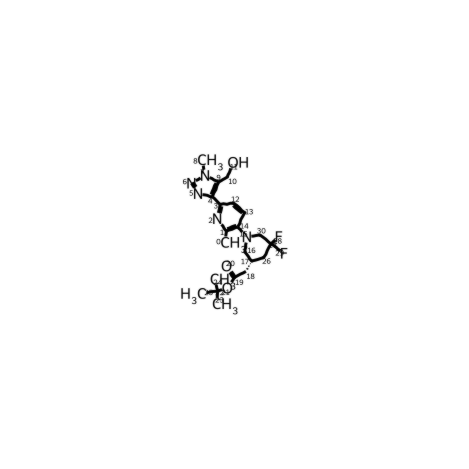 Cc1nc(-c2nnn(C)c2CO)ccc1N1C[C@@H](CC(=O)OC(C)(C)C)CC(F)(F)C1